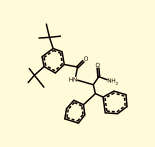 CC(C)(C)c1cc(C(=O)NC(C(N)=O)C(c2ccccc2)c2ccccc2)cc(C(C)(C)C)c1